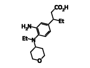 CCC(CC(=O)O)c1ccc(N(CC)C2CCOCC2)c(N)c1